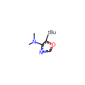 CN(C)c1ncoc1C(C)(C)C